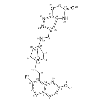 COc1ccc2ncc(F)c(CCC34CCC(NCc5cc6c(nn5)OCC(=O)N6)(CC3)CO4)c2n1